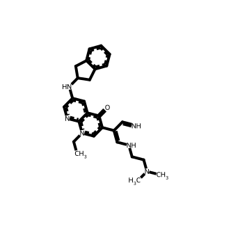 CCn1cc(/C(C=N)=C/NCCN(C)C)c(=O)c2cc(NC3Cc4ccccc4C3)cnc21